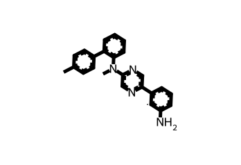 Cc1ccc(-c2ccccc2N(C)c2cnc(-c3[c]c(N)ccc3)cn2)cc1